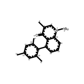 CCCCn1cc(C)c(=O)c2c(-c3c(C)cc(C)cc3C)cccc21